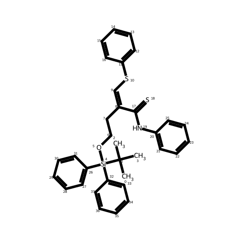 CC(C)(C)[Si](OCCC(=CSc1ccccc1)C(=S)Nc1ccccc1)(c1ccccc1)c1ccccc1